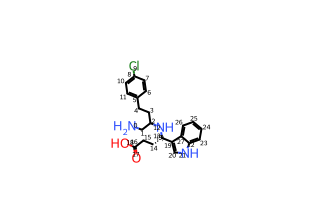 NCC(CCc1ccc(Cl)cc1)N[C@@H](CCC(=O)O)c1c[nH]c2ccccc12